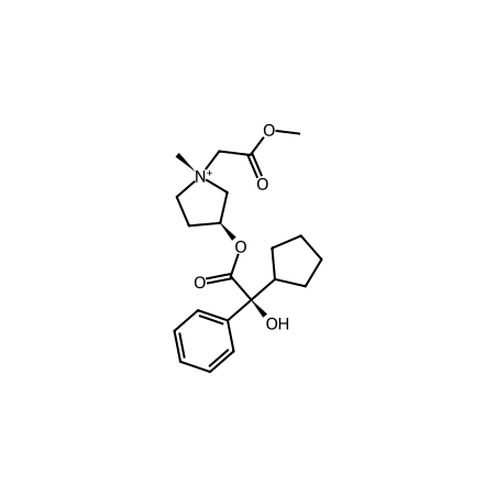 COC(=O)C[N@@+]1(C)CC[C@H](OC(=O)[C@@](O)(c2ccccc2)C2CCCC2)C1